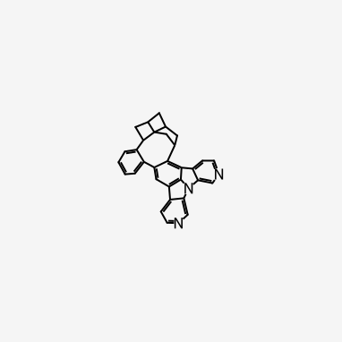 c1ccc2c(c1)-c1cc3c4ccncc4n4c5cnccc5c(c1C1CC5CC6CC2C56C1)c34